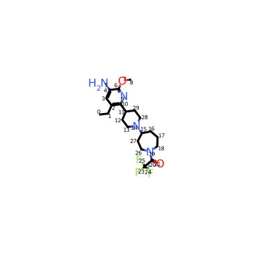 CCc1cc(N)c(OC)nc1C1CCN(C2CCCN(C(=O)C(F)(F)F)CC2)CC1